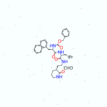 CC(C)C[C@H](NC(=O)[C@@H](Cc1cccc2ccccc12)NC(=O)OCc1ccccc1)C(=O)N[C@H](C=O)C[C@@H]1CCCNC1=O